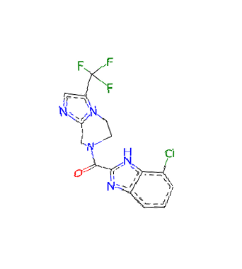 O=C(c1nc2cccc(Cl)c2[nH]1)N1CCn2c(C(F)(F)F)cnc2C1